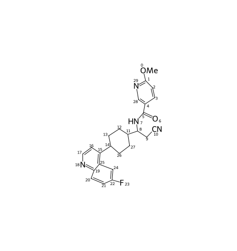 COc1ccc(C(=O)NC(CC#N)C2CCC(c3ccnc4ccc(F)cc34)CC2)cn1